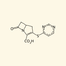 O=C(O)C1=C(Sc2ccncn2)CC2CC(=O)N12